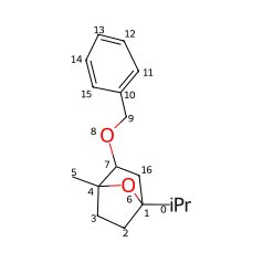 CC(C)C12CCC(C)(O1)C(OCc1ccccc1)C2